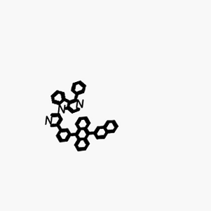 c1ccc(-c2nccc3c2c2ccccc2n3-c2cncc(-c3cccc(-c4c5ccccc5c(-c5ccc6ccccc6c5)c5ccccc45)c3)c2)cc1